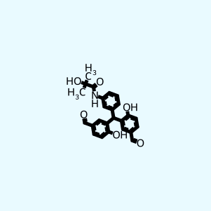 CC(C)(O)C(=O)Nc1cccc(C(c2cc(C=O)ccc2O)c2cc(C=O)ccc2O)c1